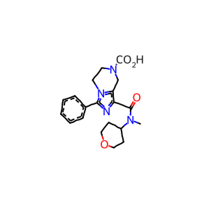 CN(C(=O)c1nc(-c2ccccc2)n2c1CN(C(=O)O)CC2)C1CCOCC1